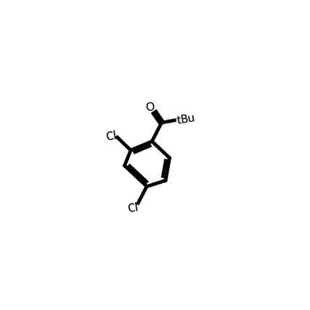 CC(C)(C)C(=O)c1ccc(Cl)cc1Cl